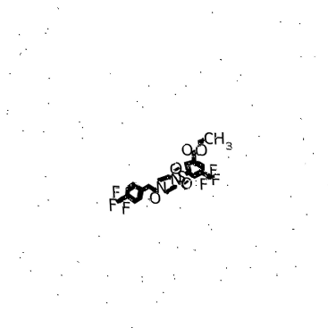 CCOC(=O)c1cc(C(F)(F)F)cc(S(=O)(=O)N2CCN(C(=O)Cc3ccc(C(F)(F)F)cc3)CC2)c1